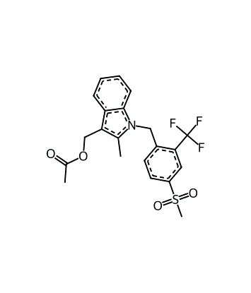 CC(=O)OCc1c(C)n(Cc2ccc(S(C)(=O)=O)cc2C(F)(F)F)c2ccccc12